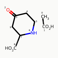 CC(=O)O.O=C1CCNC(C(=O)O)C1